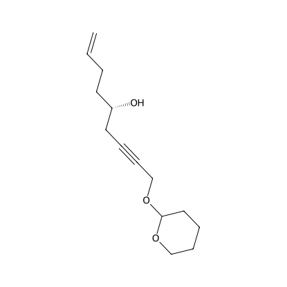 C=CCC[C@H](O)CC#CCOC1CCCCO1